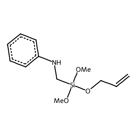 C=CCO[Si](CNc1ccccc1)(OC)OC